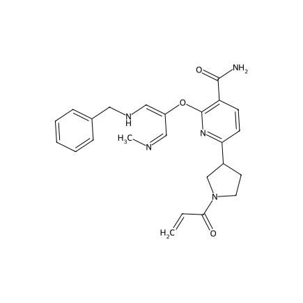 C=CC(=O)N1CCC(c2ccc(C(N)=O)c(OC(/C=N\C)=C/NCc3ccccc3)n2)C1